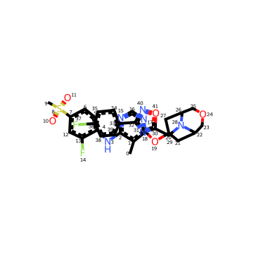 Cc1c(Nc2ccc(S(C)(=O)=O)cc2F)ncnc1OC1CC2COCC(C1)N2Cc1nc(-c2ccc(F)cc2)no1